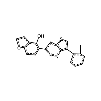 Cc1ccccc1-c1csc2cc(-c3ccc4occc4c3O)nnc12